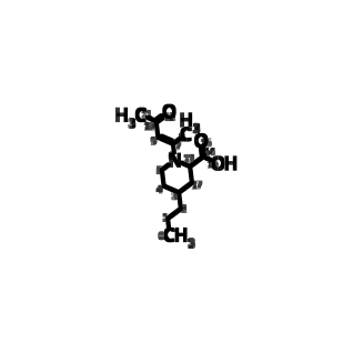 CCCC1CCN(/C(C)=C/C(C)=O)C(C(=O)O)C1